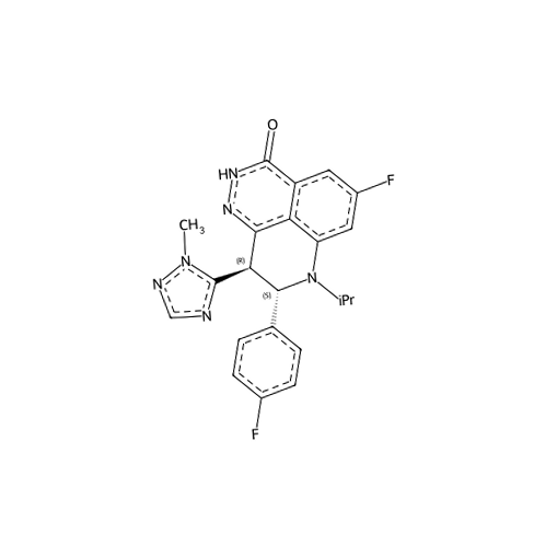 CC(C)N1c2cc(F)cc3c(=O)[nH]nc(c23)[C@H](c2ncnn2C)[C@H]1c1ccc(F)cc1